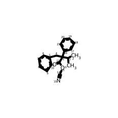 CC(C)C(Cc1ccccc1)(C(=O)OC#N)c1ccccc1